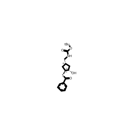 CC(C)(C)OC(=O)NC[C@H]1C[C@H](SC(=O)c2ccccc2)[C@@H](O)C1